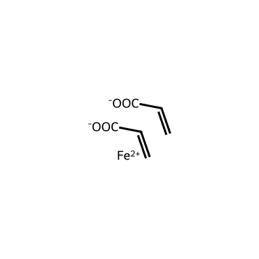 C=CC(=O)[O-].C=CC(=O)[O-].[Fe+2]